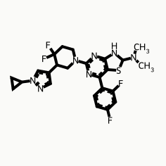 CN(C)C1Nc2nc(N3CCC(F)(F)C(c4cnn(C5CC5)c4)C3)nc(-c3ccc(F)cc3F)c2S1